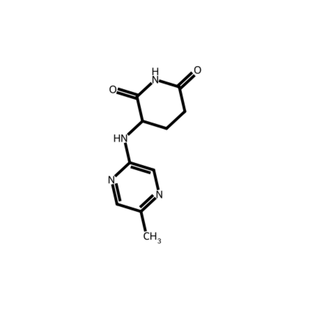 Cc1cnc(NC2CCC(=O)NC2=O)cn1